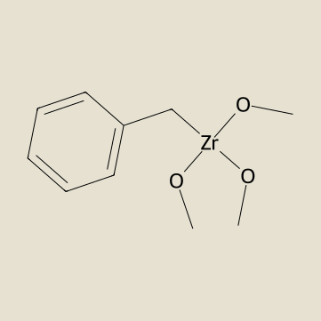 C[O][Zr]([CH2]c1ccccc1)([O]C)[O]C